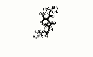 CC(=O)OCC1=C(C(=O)O[Si](C)(C)C)N2C(=O)C(NC(=O)O[Si](C)(C)C)[C@@H]2SC1